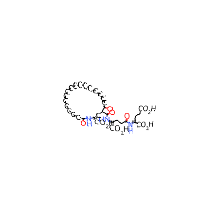 O=C(O)CC[C@H](NC(=O)CC[C@H](NC(=O)C1C[C@@H](C(=O)O)NC(=O)CCCCCCCCCCCCCCCCC1=O)C(=O)O)C(=O)O